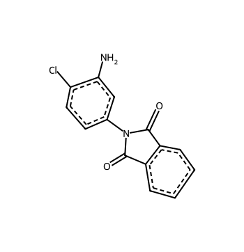 Nc1cc(N2C(=O)c3ccccc3C2=O)ccc1Cl